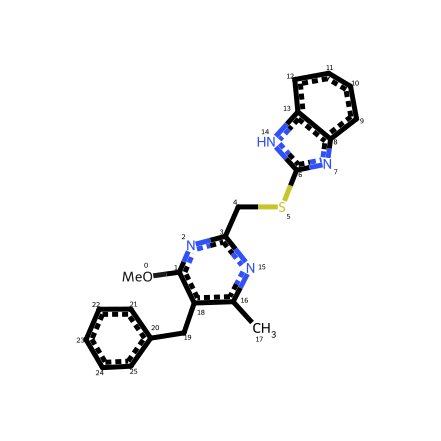 COc1nc(CSc2nc3ccccc3[nH]2)nc(C)c1Cc1ccccc1